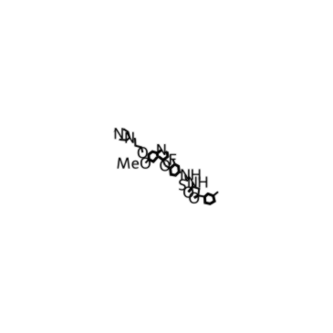 COc1cc2c(Oc3ccc(NC(=S)NC(=O)CC(=O)c4cccc(C)c4)cc3F)ccnc2cc1OCCCN1CCN(C)CC1